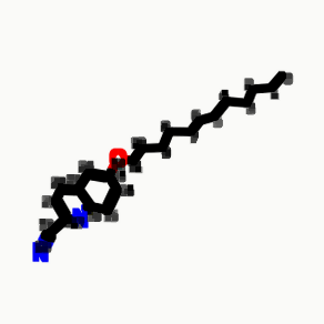 CCCCCCCCCCCCOc1ccc2nc(C#N)ccc2c1